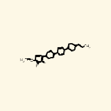 CCCC1CCC(C2C=CC(C3CCC(c4ccc(OCC)c(F)c4F)CC3)CC2)CC1